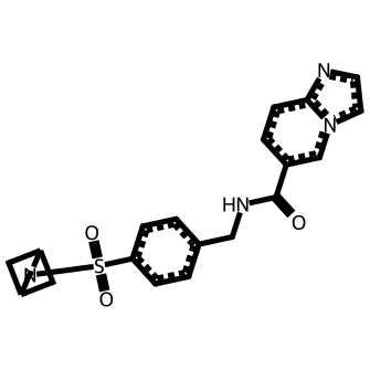 O=C(NCc1ccc(S(=O)(=O)N2CC3CC2C3)cc1)c1ccc2nccn2c1